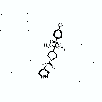 CC(C)(C1CCN(C(=O)Nc2ccnnc2)CC1)S(=O)(=O)c1ccc(C#N)cc1